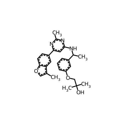 Cc1nc(NC(C)c2cccc(OCC(C)(C)O)c2)cc(-c2ccc3occ(C)c3c2)n1